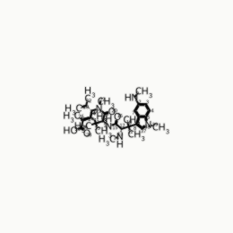 CNc1ccc2c(c1)c(C(C)(C)[C@H](NC)C(=O)N[C@H](C(=O)N(C)[C@H](/C=C(\C)C(=O)O)C(C)C)C(C)(C)C)cn2C